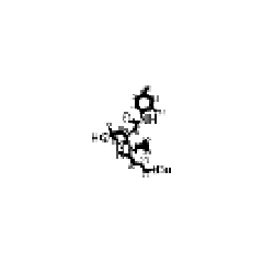 Cc1ccc(NC(=O)C[C@H](CC(C)(C)O)c2nnc(CCCC(C)(C)C)n2C2CC2)c(C)c1